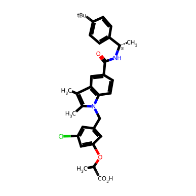 Cc1c(C)n(Cc2cc(Cl)cc(OC(C)C(=O)O)c2)c2ccc(C(=O)N[C@@H](C)c3ccc(C(C)(C)C)cc3)cc12